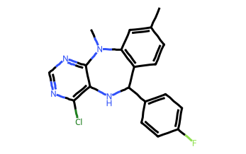 Cc1ccc2c(c1)N(C)c1ncnc(Cl)c1NC2c1ccc(F)cc1